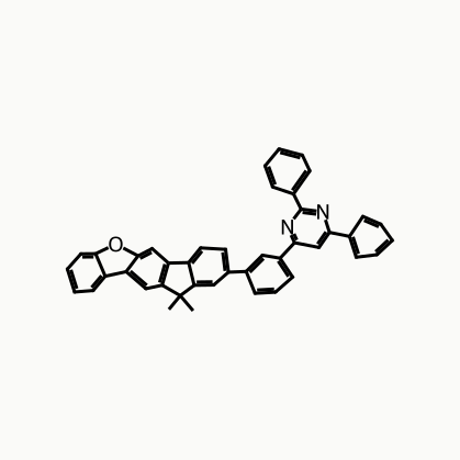 CC1(C)c2cc(-c3cccc(-c4cc(-c5ccccc5)nc(-c5ccccc5)n4)c3)ccc2-c2cc3oc4ccccc4c3cc21